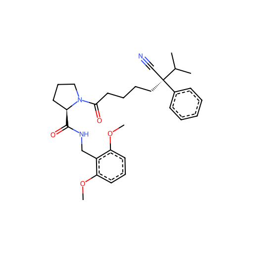 COc1cccc(OC)c1CNC(=O)[C@H]1CCCN1C(=O)CCCC[C@@](C#N)(c1ccccc1)C(C)C